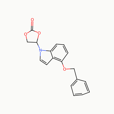 O=C1OCC(n2ccc3c(OCc4ccccc4)cccc32)O1